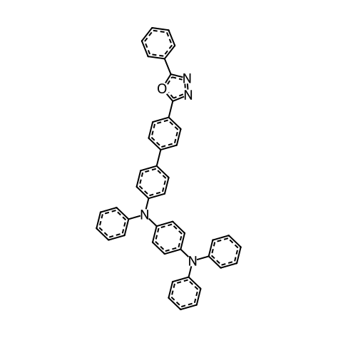 c1ccc(-c2nnc(-c3ccc(-c4ccc(N(c5ccccc5)c5ccc(N(c6ccccc6)c6ccccc6)cc5)cc4)cc3)o2)cc1